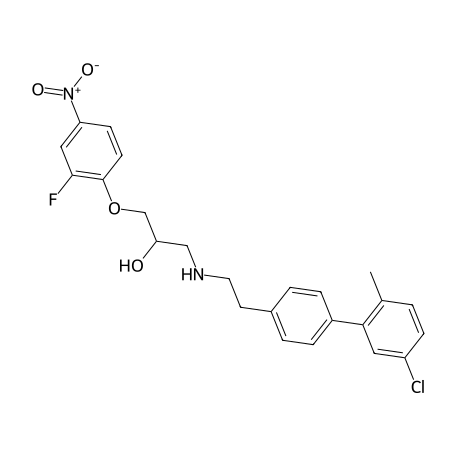 Cc1ccc(Cl)cc1-c1ccc(CCNCC(O)COc2ccc([N+](=O)[O-])cc2F)cc1